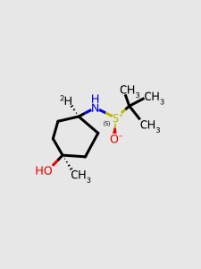 [2H][C@]1(N[S@+]([O-])C(C)(C)C)CC[C@@](C)(O)CC1